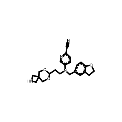 N#Cc1ccc(N(CCC2OCC3(CNC3)CO2)Cc2ccc3c(c2)CCO3)cn1